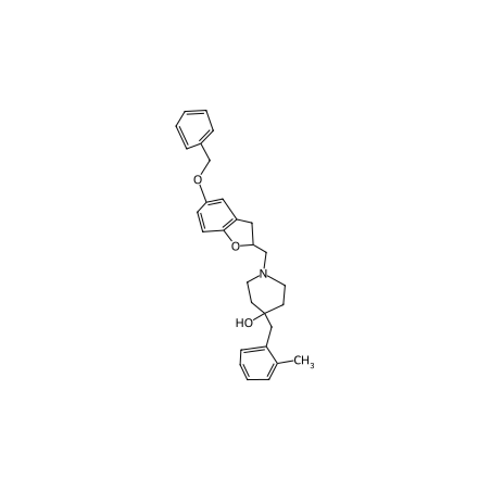 Cc1ccccc1CC1(O)CCN(CC2Cc3cc(OCc4ccccc4)ccc3O2)CC1